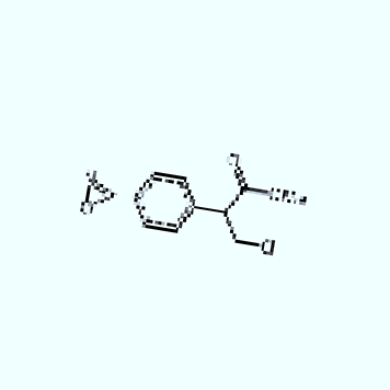 C1=NO1.COC(=O)C(CCl)c1ccccc1